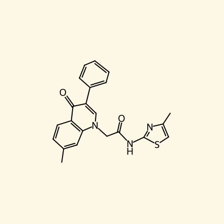 Cc1ccc2c(=O)c(-c3ccccc3)cn(CC(=O)Nc3nc(C)cs3)c2c1